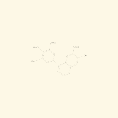 COc1cc2c(-c3cc(OC)c(OC)c(OC)c3)nccc2cc1O